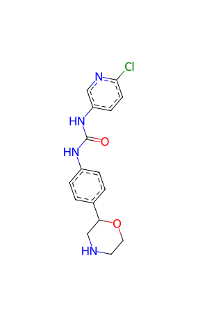 O=C(Nc1ccc(C2CNCCO2)cc1)Nc1ccc(Cl)nc1